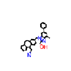 Cc1cc(-c2ccccc2)cc2c1nc(CO)n2Cc1ccc2c(c1)CCc1ccccc1/C2=C\C#N